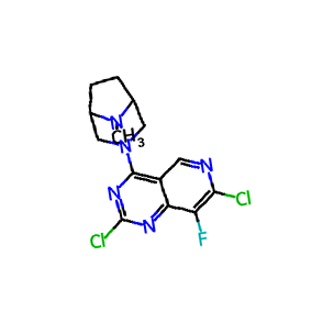 CN1C2CCC1CN(c1nc(Cl)nc3c(F)c(Cl)ncc13)C2